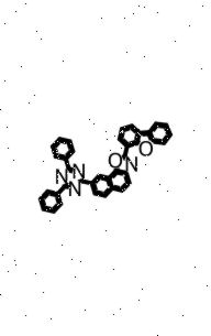 c1ccc(-c2nc(-c3ccccc3)nc(-c3ccc4ccc5nc(-c6cccc7c6oc6ccccc67)oc5c4c3)n2)cc1